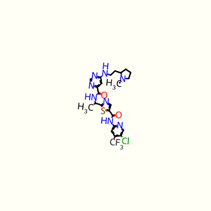 CC(NC(=O)c1cc(NCCC2CCCN2C)ncn1)c1ncc(C(=O)Nc2cc(C(F)(F)F)c(Cl)cn2)s1